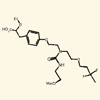 CCOC(Cc1ccc(OCCN(CCOCCC(C)(F)F)C(=O)NCCOC)cc1)C(=O)O